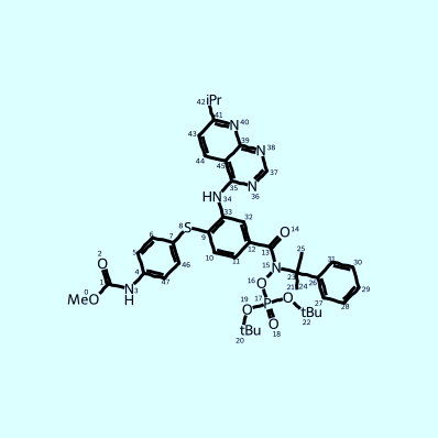 COC(=O)Nc1ccc(Sc2ccc(C(=O)N(OP(=O)(OC(C)(C)C)OC(C)(C)C)C(C)(C)c3ccccc3)cc2Nc2ncnc3nc(C(C)C)ccc23)cc1